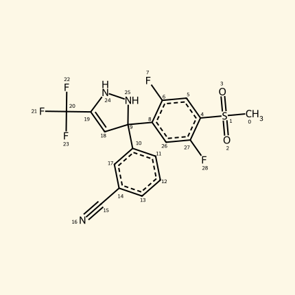 CS(=O)(=O)c1cc(F)c(C2(c3cccc(C#N)c3)C=C(C(F)(F)F)NN2)cc1F